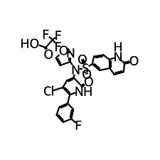 O=C(O)C(F)(F)F.O=c1ccc2cc(S(=O)(=O)N(c3ccon3)c3cc(Cl)c(-c4cccc(F)c4)[nH]c3=O)ccc2[nH]1